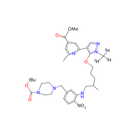 [2H]C([2H])([2H])n1ncc(-c2cc(C(=O)OC)cc(C)n2)c1OCCCC(C)CNc1cc(CN2CCN(C(=O)OC(C)(C)C)CC2)ccc1[N+](=O)[O-]